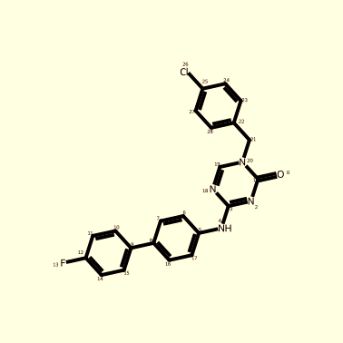 O=c1nc(Nc2ccc(-c3ccc(F)cc3)cc2)ncn1Cc1ccc(Cl)cc1